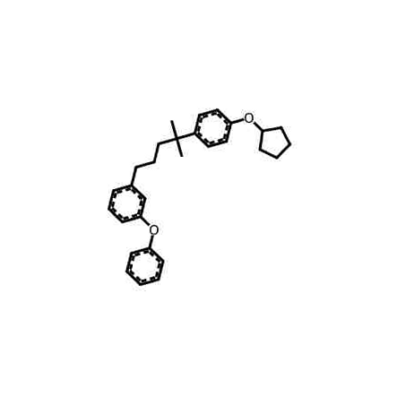 CC(C)(CCCc1cccc(Oc2ccccc2)c1)c1ccc(OC2CCCC2)cc1